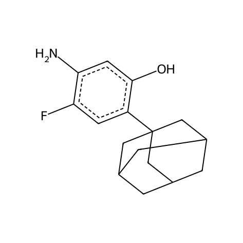 Nc1cc(O)c(C23CC4CC(CC(C4)C2)C3)cc1F